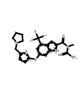 CN(C(=N)N)C(=O)c1cc2c(C(F)(F)F)cc(Oc3ccc(CN4CCCC4)o3)cc2[nH]1